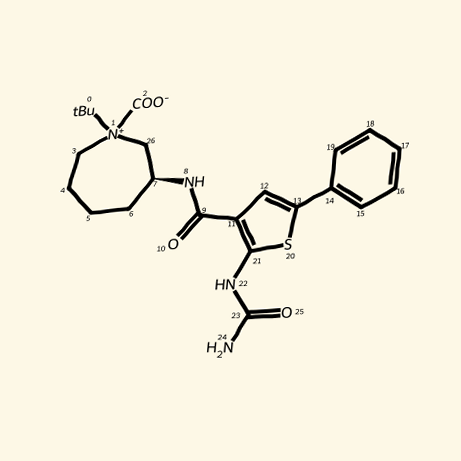 CC(C)(C)[N+]1(C(=O)[O-])CCCC[C@H](NC(=O)c2cc(-c3ccccc3)sc2NC(N)=O)C1